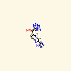 OC(c1ccc2nc(-c3nnn[nH]3)cn2c1)c1nnn[nH]1